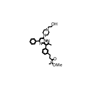 CON(C)C(=O)CCc1cccc(-c2c(C)nn3c(N4CCN(CCO)CC4)cc(-c4ccccc4)nc23)c1